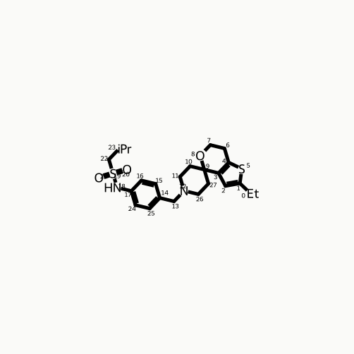 CCc1cc2c(s1)CCOC21CCN(Cc2ccc(NS(=O)(=O)CC(C)C)cc2)CC1